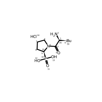 CC[C@H](C)[C@H](N)C(=O)N1CCC[C@@H]1P(=O)(O)O.Cl